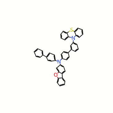 c1ccc(-c2ccc(N(c3ccc(-c4cccc(N5c6ccccc6Sc6ccccc65)c4)cc3)c3ccc4c(c3)oc3ccccc34)cc2)cc1